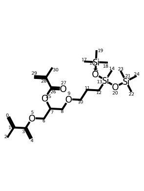 C=C(C)C(=C)OCC(COCCC[Si](C)(O[Si](C)(C)C)O[Si](C)(C)C)OC(=O)C(=C)C